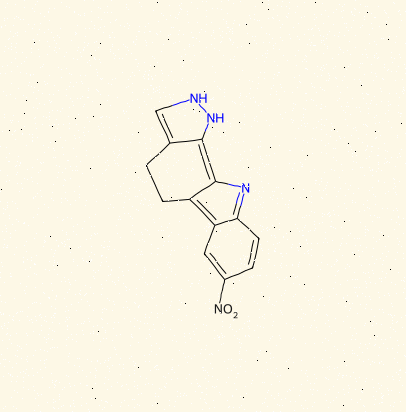 O=[N+]([O-])c1ccc2c(c1)=C1CCC3=CNNC3=C1N=2